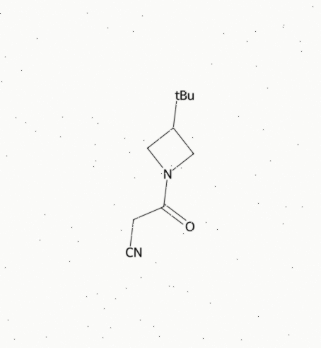 CC(C)(C)C1CN(C(=O)CC#N)C1